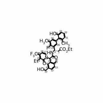 CCOC(=O)C[C@H](NC(=O)C(c1cc(CO)ccc1F)n1ccc(C(F)(F)F)c(CC)c1=O)c1cc(-c2c(C)cccc2O)cc(C)c1F